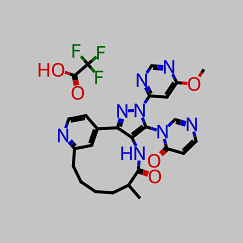 COc1cc(-n2nc3c(c2-n2cnccc2=O)NC(=O)C(C)CCCCc2cc-3ccn2)ncn1.O=C(O)C(F)(F)F